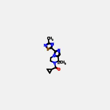 Cc1nsc(-c2ncc3n2CCN(C(=O)C2CC2)[C@@H]3C)n1